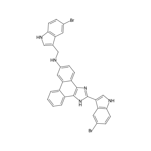 Brc1ccc2[nH]cc(CNc3ccc4c(c3)c3ccccc3c3[nH]c(-c5c[nH]c6ccc(Br)cc56)nc43)c2c1